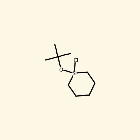 CC(C)(C)O[Si]1(Cl)CCCCC1